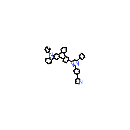 c1ccc(-c2cc(-c3ccc4c(c3)c3ccccc3c3cc5c(cc43)c3ccccc3n5-c3ccccc3)nc(-c3ccc(-c4cccnc4)cc3)n2)cc1